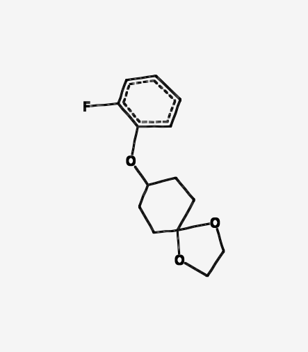 Fc1ccccc1OC1CCC2(CC1)OCCO2